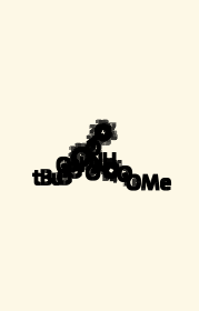 COCOc1ccc(C(=O)N[C@@H]2CN(OC(=O)OC(C)(C)C)CCC[C@H]2OCc2ccccc2)cc1